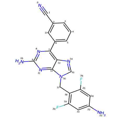 N#Cc1cccc(-c2nc(N)nc3c2ncn3Cc2c(F)cc(N)cc2F)c1